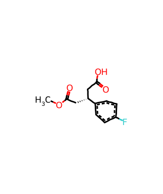 COC(=O)C[C@H](CC(=O)O)c1ccc(F)cc1